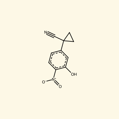 N#CC1(c2ccc([N+](=O)[O-])c(O)c2)CC1